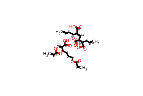 C=CC(=O)OCCCC(OC(=O)C=C)C(=C)C(=O)O.C=CCCC(=C/C(C(=O)O)=C(\CC=C)C(=O)O)C(=O)O